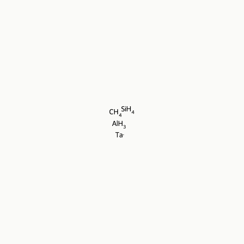 C.[AlH3].[SiH4].[Ta]